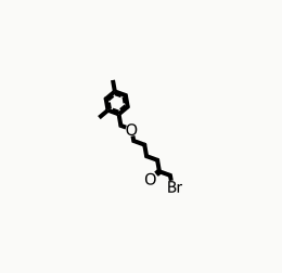 Cc1ccc(COCCCCC(=O)CBr)c(C)c1